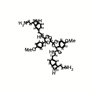 COc1ccc(C(OC(=O)C(=O)OC(C(=O)NCCc2ccc3[nH]cc(CCN)c3c2)c2ccc(OC)cc2)C(=O)NCCc2ccc3[nH]cc(CCN)c3c2)cc1